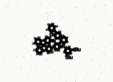 CC(C)(C)c1cc(-n2c3ccccc3c3c(N(c4ccc5c(c4)C4(c6ccccc6-c6ccccc64)c4ccccc4-5)c4cccc5c4oc4ccccc45)cccc32)cc(C(C)(C)C)c1